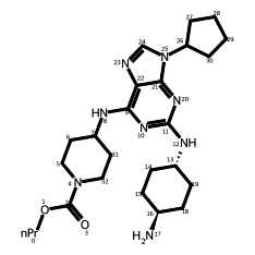 CCCOC(=O)N1CCC(Nc2nc(N[C@H]3CC[C@H](N)CC3)nc3c2ncn3C2CCCC2)CC1